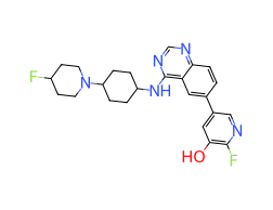 Oc1cc(-c2ccc3ncnc(NC4CCC(N5CCC(F)CC5)CC4)c3c2)cnc1F